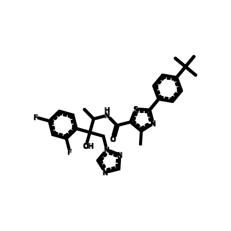 Cc1nc(-c2ccc(C(C)(C)C)cc2)sc1C(=O)NC(C)C(O)(Cn1cncn1)c1ccc(F)cc1F